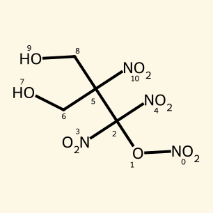 O=[N+]([O-])OC([N+](=O)[O-])([N+](=O)[O-])C(CO)(CO)[N+](=O)[O-]